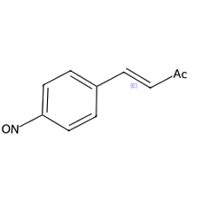 CC(=O)/C=C/c1ccc(N=O)cc1